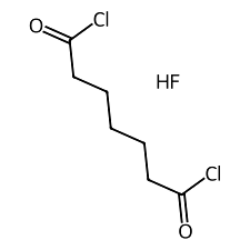 F.O=C(Cl)CCCCCC(=O)Cl